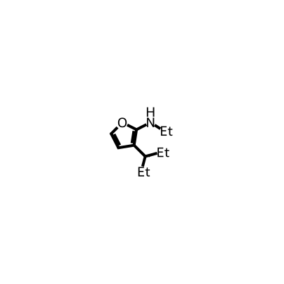 CCNc1occc1[C](CC)CC